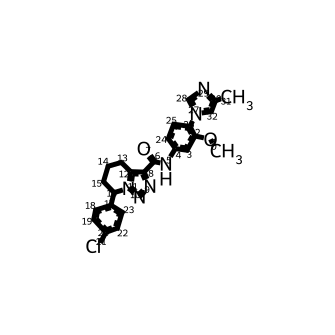 COc1cc(NC(=O)c2nnn3c2CCCC3c2ccc(Cl)cc2)ccc1-n1cnc(C)c1